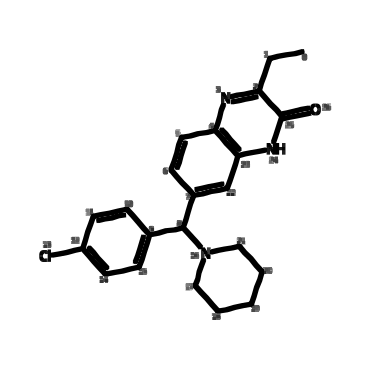 CCc1nc2ccc(C(c3ccc(Cl)cc3)N3CCCCC3)cc2[nH]c1=O